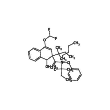 CCCC[N+](Oc1ccccc1)(C(=O)C1(C(C)(C)CC)C=C(OC(F)F)c2ccccc2C1O)C(C)(C)CC